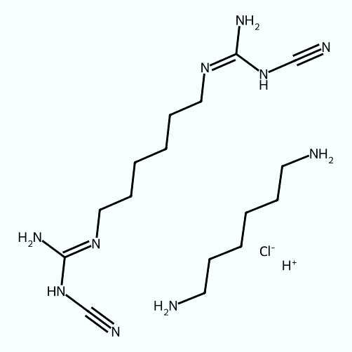 N#CNC(N)=NCCCCCCN=C(N)NC#N.NCCCCCCN.[Cl-].[H+]